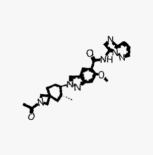 COc1cc2nn([C@@H]3CCC4(C[C@H]3C)CN(C(C)=O)C4)cc2cc1C(=O)Nc1cnc2cccnn12